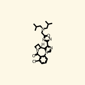 CC(C)CN(Cc1nc(-c2ncn3c2[C@@H]2CCN2C(=O)c2c(Cl)cccc2-3)no1)CC(C)C